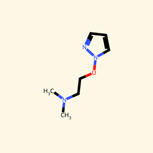 CN(C)CCOn1cccn1